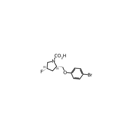 O=C(O)N1C[C@@H](F)C[C@H]1COc1ccc(Br)cc1